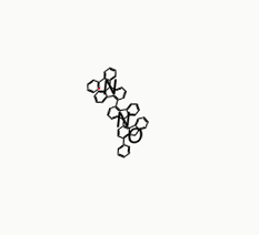 c1ccc(-c2ccccc2-n2c3ccccc3c3c(-c4cccc5c4c4ccccc4n5-c4ccc(-c5ccccc5)c5oc6ccccc6c45)cccc32)cc1